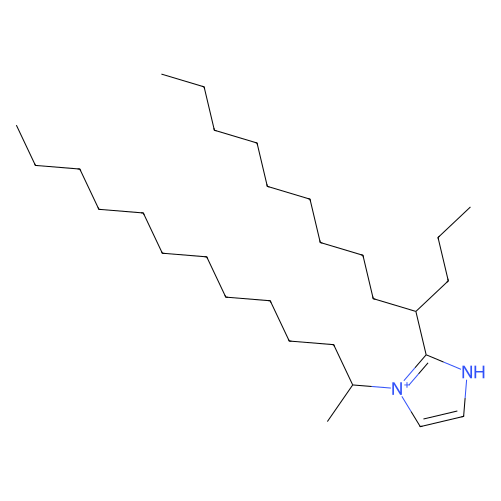 CCCCCCCCCCCC(C)[n+]1cc[nH]c1C(CCC)CCCCCCCCC